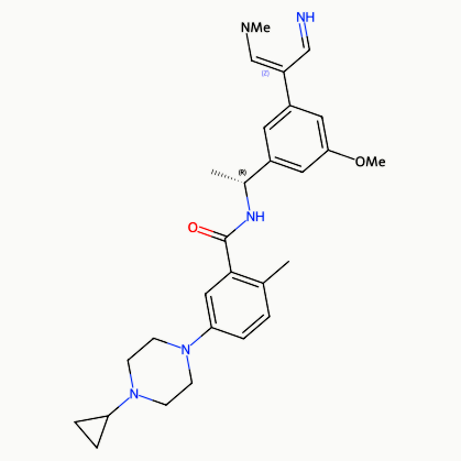 CN/C=C(\C=N)c1cc(OC)cc([C@@H](C)NC(=O)c2cc(N3CCN(C4CC4)CC3)ccc2C)c1